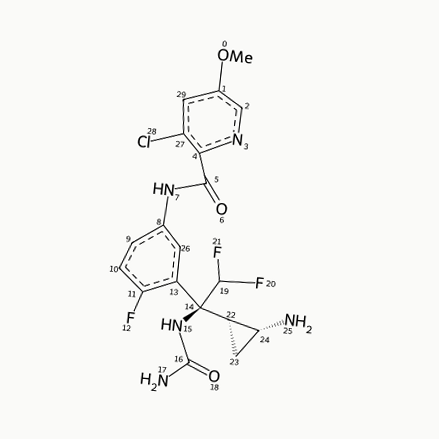 COc1cnc(C(=O)Nc2ccc(F)c([C@](NC(N)=O)(C(F)F)[C@H]3C[C@H]3N)c2)c(Cl)c1